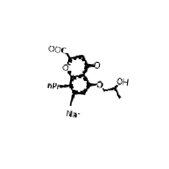 CCCc1c(C)cc(OCC(C)O)c2c(=O)cc(C(=O)[O-])oc12.[Na+]